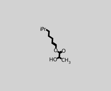 CC(C)CCCC=COC(=O)C(C)O